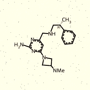 CNC1CN(c2cc(CNC[C@H](C)c3ccccc3)nc(N)n2)C1